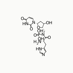 N[C@@H](Cc1cnc[nH]1)C(=O)N(C[C@@H]1O[C@H](n2ccc(=O)[nH]c2=O)CC1O)P(=O)(O)O